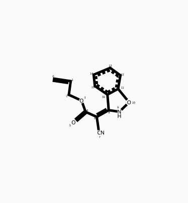 C=CCOC(=O)C(C#N)=C1NOc2ccccc21